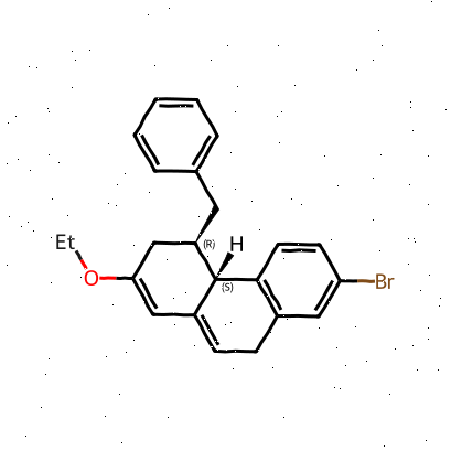 CCOC1=CC2=CCc3cc(Br)ccc3[C@H]2[C@H](Cc2ccccc2)C1